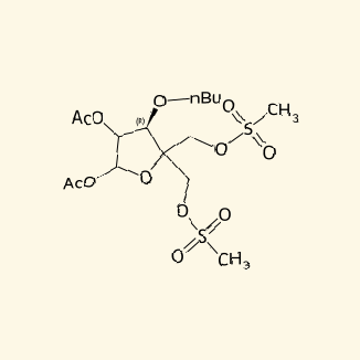 CCCCO[C@@H]1C(OC(C)=O)C(OC(C)=O)OC1(COS(C)(=O)=O)COS(C)(=O)=O